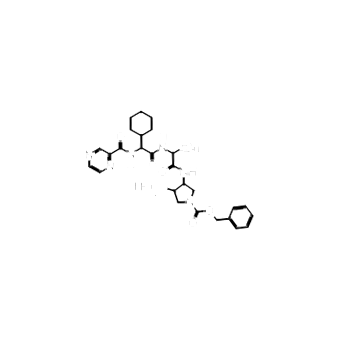 CC(C)(C)C(NC(=O)C(NC(=O)c1cnccn1)C1CCCCC1)C(=O)NC1CN(C(=O)OCc2ccccc2)CC1C(=O)O